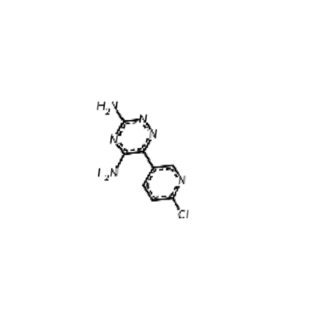 Nc1nnc(-c2ccc(Cl)nc2)c(N)n1